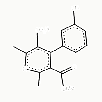 COC(=O)c1c(C)nc(C)c(C(=O)O)c1-c1cccc(C#N)c1